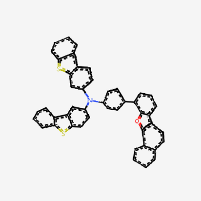 c1ccc2c(c1)ccc1c3cccc(-c4ccc(N(c5ccc6c(c5)sc5ccccc56)c5ccc6sc7ccccc7c6c5)cc4)c3oc21